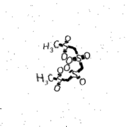 CS(=O)(=O)CS(=O)(=O)CS(=O)(=O)CS(C)(=O)=O